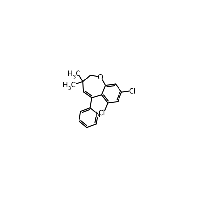 CC1(C)C=C(c2ccccn2)c2c(Cl)cc(Cl)cc2OC1